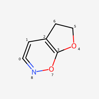 C1=CC2=C(OCC2)ON=1